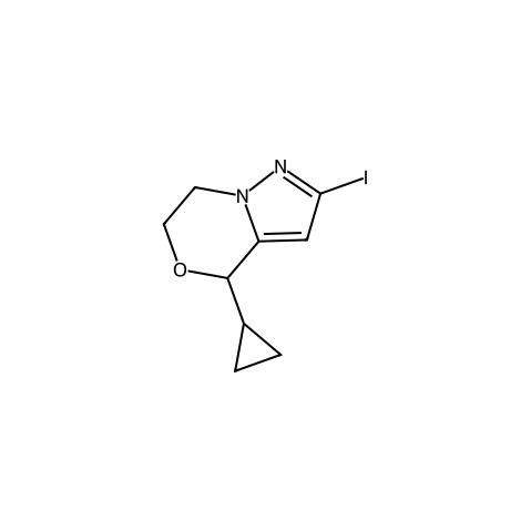 Ic1cc2n(n1)CCOC2C1CC1